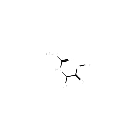 COC(=O)NC(C(=O)OC(C)C)C(C)C